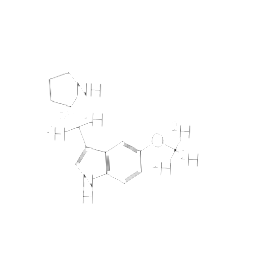 [2H]C([2H])([2H])Oc1ccc2[nH]cc(C([2H])([2H])[C@@H]3CCCN3)c2c1